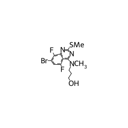 CSc1nc(N(C)CCCO)c2c(F)cc(Br)c(F)c2n1